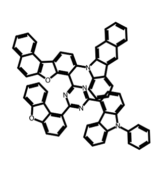 c1ccc(-n2c3ccccc3c3c(-c4nc(-c5c(-n6c7ccccc7c7cc8ccccc8cc76)ccc6c5oc5ccc7ccccc7c56)nc(-c5cccc6oc7ccccc7c56)n4)cccc32)cc1